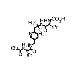 CC(C)[C@H](NC(=O)O)C(=O)NC(C)(C)Cc1ccc(CNC(=O)[C@@H](NC(=O)C(C)(C)C)C(C)C)cn1